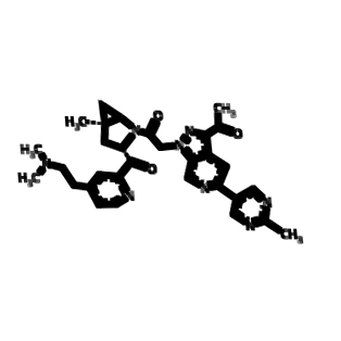 CC(=O)c1nn(CC(=O)N2C3C[C@]3(C)C[C@H]2C(=O)c2cc(CCN(C)C)ccn2)c2cnc(-c3cnc(C)nc3)cc12